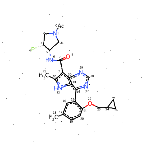 CC(=O)N1C[C@@H](F)[C@@H](NC(=O)c2c(C)[nH]c3c(-c4cc(C(F)(F)F)ccc4OCC4CC4)ncnc23)C1